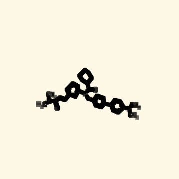 CN(C)C(=O)/C=C/c1cccc(N(Cc2ccc(-c3ccc(N(C)C)cc3)cc2)C(=O)C2CCCCC2)c1